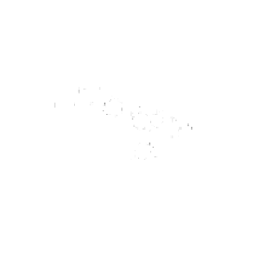 CCNC(=O)Nc1nc2cc(-c3cnc([C@@H](C)N[C@@H](C(=O)O)C(C)C)nc3)cc(-c3ccccn3)c2s1